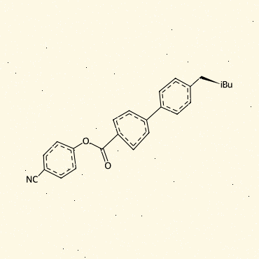 CC[C@H](C)Cc1ccc(-c2ccc(C(=O)Oc3ccc(C#N)cc3)cc2)cc1